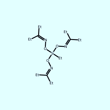 CCC(CC)=NO[Si](CC)(ON=C(CC)CC)ON=C(CC)CC